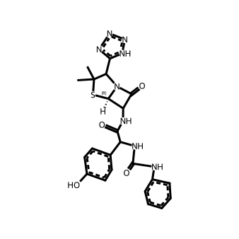 CC1(C)S[C@@H]2C(NC(=O)C(NC(=O)Nc3ccccc3)c3ccc(O)cc3)C(=O)N2C1c1nnn[nH]1